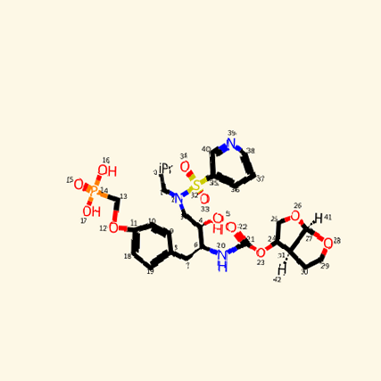 CC(C)CN(C[C@@H](O)[C@H](Cc1ccc(OCP(=O)(O)O)cc1)NC(=O)OC1CO[C@H]2OCC[C@@H]12)S(=O)(=O)c1cccnc1